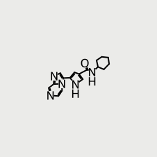 O=C(NC1CCCCC1)c1c[nH]c(-c2cnc3cnccn23)c1